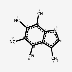 Cc1c[nH]c2c(C#N)c(C#N)c(C#N)c(C#N)c12